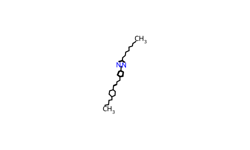 CCCCCCCCCc1cnc(-c2ccc(CCC=CC3CCC(CCCCC)CC3)cc2)nc1